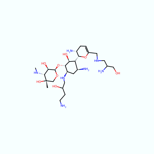 CN[C@@H]1[C@@H](O)[C@@H](O[C@H]2[C@H](NCC(O)CCN)C[C@H](N)C([C@H]3OC(CNCC(N)CO)=CC[C@H]3N)[C@@H]2O)OC[C@]1(C)O